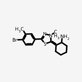 Cc1cc(C2=NN(C)C(=C3CCCCC3N)S2)ccc1Br